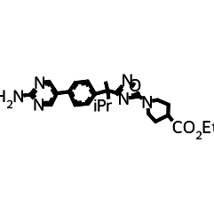 CCOC(=O)C1CCN(c2nc(C(C)(c3ccc(-c4cnc(N)nc4)cc3)C(C)C)no2)CC1